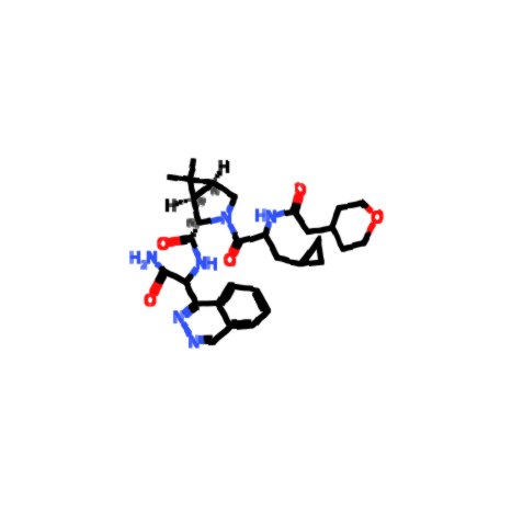 CC1(C)[C@@H]2[C@@H](C(=O)NC(C(N)=O)c3nncc4ccccc34)N(C(=O)C(CC3CC3)NC(=O)CC3CCOCC3)C[C@@H]21